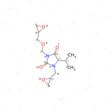 CC(C)C1C(=O)N(COCC2CO2)C(=O)N1CC1CO1